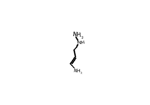 N/C=C/CNN